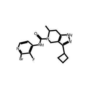 CC1Cc2[nH]nc(C3CCC3)c2CN1C(=O)Nc1ccnc(Br)c1F